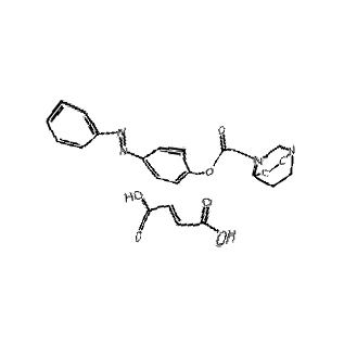 O=C(O)/C=C/C(=O)O.O=C(Oc1ccc(N=Nc2ccccc2)cc1)N1CCN2CCC1CC2